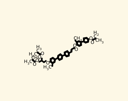 C=C(C)C(=O)OCC(CCOc1ccc(-c2ccc(-c3ccc(/C=C/C(=O)Oc4ccc(-c5ccc(OC(=O)C(=C)C)cc5)cc4CC)cc3)cc2)cc1CC)COC(=O)C(=C)C